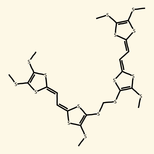 CSC1=C(SC)SC(=CC=C2SC(SC)=C(SCSC3=C(SC)SC(=CC=C4SC(SC)=C(SC)S4)S3)S2)S1